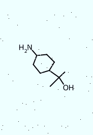 CC(C)(O)C1CCC(N)CC1